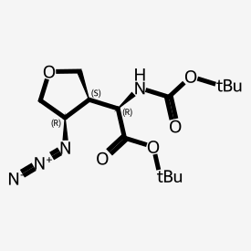 CC(C)(C)OC(=O)N[C@@H](C(=O)OC(C)(C)C)[C@@H]1COC[C@@H]1N=[N+]=[N-]